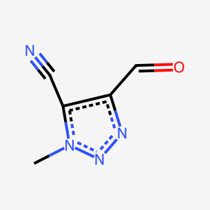 Cn1nnc(C=O)c1C#N